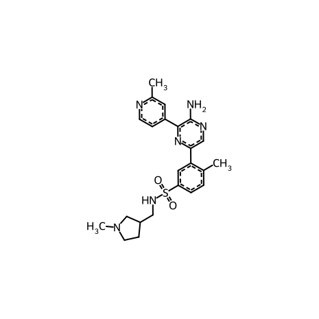 Cc1cc(-c2nc(-c3cc(S(=O)(=O)NCC4CCN(C)C4)ccc3C)cnc2N)ccn1